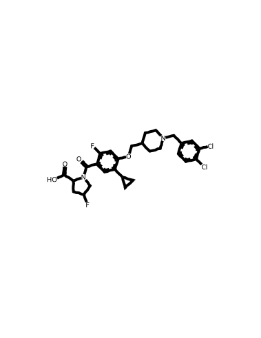 O=C(O)C1CC(F)CN1C(=O)c1cc(C2CC2)c(OCC2CCN(Cc3ccc(Cl)c(Cl)c3)CC2)cc1F